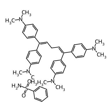 CN(C)c1ccc(C(=CCC=C(c2ccc(N(C)C)cc2)c2ccc(N(C)C)cc2)c2ccc(N(C)C)cc2)cc1.NS(=O)(=O)c1ccccc1